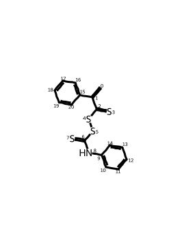 C=C(C(=S)SSC(=S)Nc1ccccc1)c1ccccc1